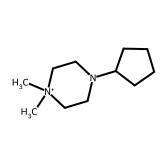 C[N+]1(C)CCN(C2CCCC2)CC1